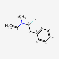 C=CN(C)C(F)Cc1ccccc1